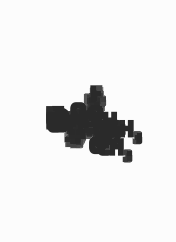 CC(=O)OCC(O)(C#Cc1ccc(OCc2ccccc2)c([C@@H]2[C@@H](CCC(OC(C)=O)c3ccc(F)cc3)C(=O)N2c2ccc(OS(=O)(=O)C(F)(F)F)cc2)c1)COC(C)=O